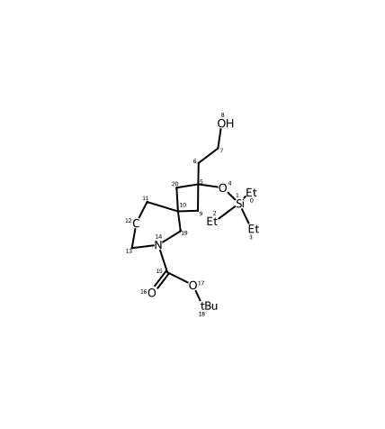 CC[Si](CC)(CC)OC1(CCO)CC2(CCCN(C(=O)OC(C)(C)C)C2)C1